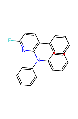 Fc1ccc(-c2ccccc2)c(N(c2ccccc2)c2ccccc2)n1